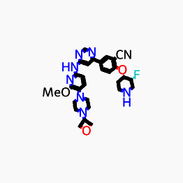 COc1nc(Nc2cc(-c3ccc(O[C@H]4CCNC[C@H]4F)c(C#N)c3)ncn2)ccc1N1CCN(C2COC2)CC1